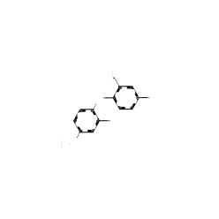 Oc1ccc(Oc2ccc(Cl)cc2Cl)c(Cl)c1